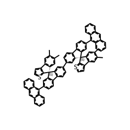 Cc1cc2c(cc1C)[C@@]1(c3cc(-c4ccc5c(c4)[C@]4(c6cc(-c7c8ccccc8cc8ccccc78)ccc6-5)c5cc(C)c(C)cc5-c5ccsc54)ccc3-c3ccc(-c4c5ccccc5cc5ccccc45)cc31)c1sccc1-2